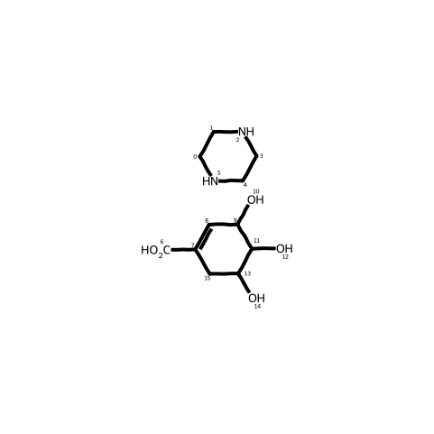 C1CNCCN1.O=C(O)C1=CC(O)C(O)C(O)C1